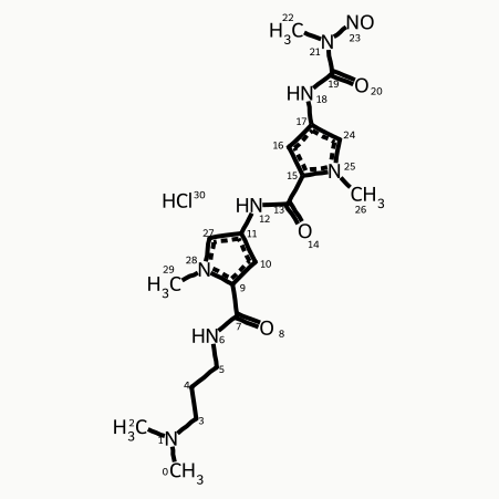 CN(C)CCCNC(=O)c1cc(NC(=O)c2cc(NC(=O)N(C)N=O)cn2C)cn1C.Cl